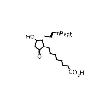 CCCCC/C=C/C[C@H]1[C@H](O)CC(=O)[C@@H]1CCCCCCCC(=O)O